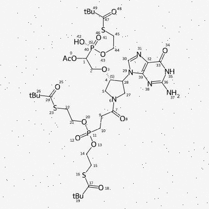 CC(=O)OC(CO[C@H]1CN(C(=O)CCP(=O)(OCCSC(=O)C(C)(C)C)OCCSC(=O)C(C)(C)C)CC1n1cnc2c(=O)[nH]c(N)nc21)[P@](=O)(O)OCCSC(=O)C(C)(C)C